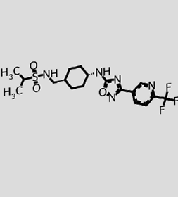 CC(C)S(=O)(=O)NC[C@H]1CC[C@H](Nc2nc(-c3ccc(C(F)(F)F)nc3)no2)CC1